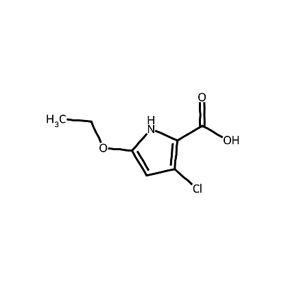 CCOc1cc(Cl)c(C(=O)O)[nH]1